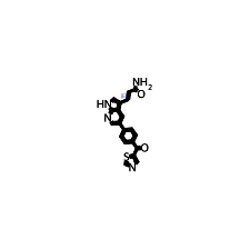 NC(=O)/C=C/c1c[nH]c2ncc(-c3ccc(C(=O)c4cncs4)cc3)cc12